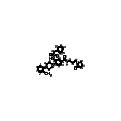 Cc1ccccc1N1CCN(c2ccc(C(=O)NCCCN3CCCC3=O)cc2NS(=O)(=O)Cc2ccccc2)CC1